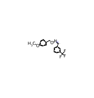 COc1ccc(CO/N=[C]\c2cccc(C(F)(F)F)c2)cc1